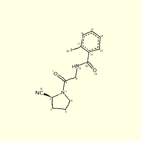 N#C[C@@H]1CCCN1C(=O)CNC(=O)c1ccccc1I